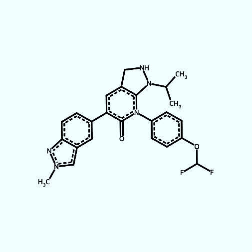 CC(C)N1NCc2cc(-c3ccc4nn(C)cc4c3)c(=O)n(-c3ccc(OC(F)F)cc3)c21